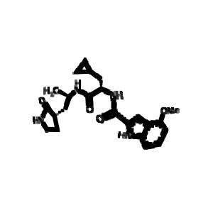 COc1cccc2[nH]c(C(=O)N[C@@H](CC3CC3)C(=O)N[C@H](C)C[C@@H]3CCNC3=O)cc12